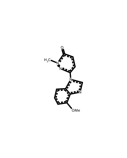 COc1cccc2c1ncn2-c1ccc(=O)n(C)n1